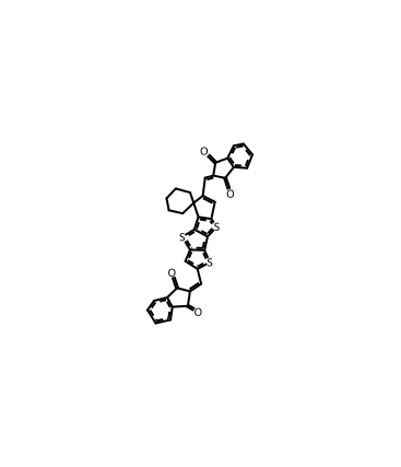 O=C1C(=CC2=Cc3sc4c(sc5cc(C=C6C(=O)c7ccccc7C6=O)sc54)c3C23CCCCC3)C(=O)c2ccccc21